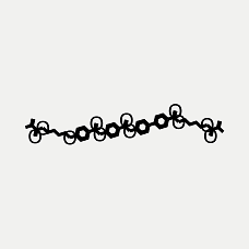 C=C(C)C(=O)OCCCCOC(=O)c1ccc(-c2ccc(OC(=O)c3ccc(OC(=O)c4ccc(OCCCCOC(=O)C(=C)C)cc4)cc3)cc2)cc1